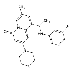 Cc1cc(C(C)Nc2cccc(F)c2)c2nc(N3CCOCC3)cc(=O)n2c1